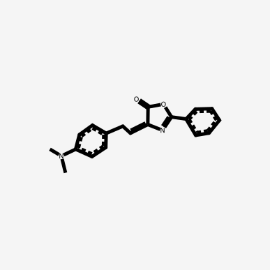 CN(C)c1ccc(C/C=C2/N=C(c3ccccc3)OC2=O)cc1